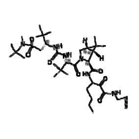 C=CCNC(=O)C(=O)C(CCCC)NC(=O)[C@@H]1[C@@H]2[C@H](CN1C(=O)[C@@H](NC(=O)N[C@H](CS(=O)(=O)N(C)C(C)(C)C)C(C)(C)C)C(C)(C)C)C2(C)C